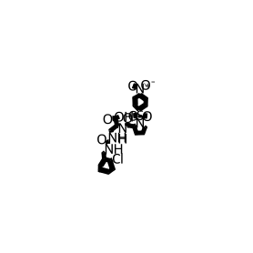 O=C(NCc1ccccc1Cl)NCC(NC(=O)C1CCCN1S(=O)(=O)c1ccc([N+](=O)[O-])cc1)C(=O)O